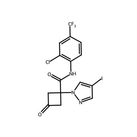 O=C1CC(C(=O)Nc2ccc(C(F)(F)F)cc2Cl)(n2cc(I)cn2)C1